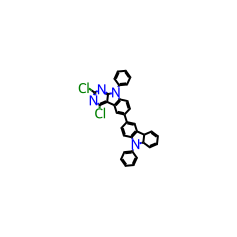 Clc1nc(Cl)c2c3cc(-c4ccc5c(c4)C4C=CC=CC4N5c4ccccc4)ccc3n(-c3ccccc3)c2n1